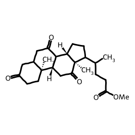 COC(=O)CCC(C)C1CC[C@H]2C3C(=O)CC4CC(=O)CC[C@]4(C)[C@H]3CC(=O)[C@]12C